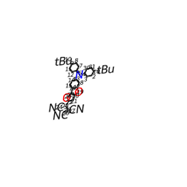 CC(C)(C)c1ccc(N(c2ccc(C(C)(C)C)cc2)c2ccc3c(c2)oc2cc(C(C#N)=C(C#N)C#N)oc23)cc1